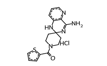 Cl.NC1=NC2(CCN(C(=O)c3cccs3)CC2)Nc2cccnc21